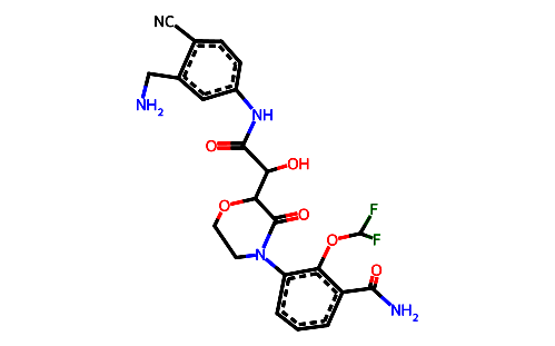 N#Cc1ccc(NC(=O)C(O)C2OCCN(c3cccc(C(N)=O)c3OC(F)F)C2=O)cc1CN